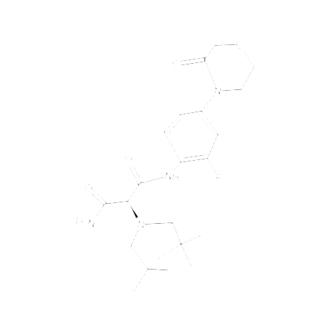 CC(C)CN(CC(C)(C)C)[C@@H](C(N)=O)C(=O)Nc1ccc(N2CCOCC2=O)cc1F